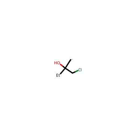 [CH2]C(O)(CC)CCl